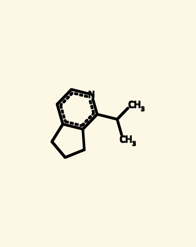 CC(C)c1nccc2c1CCC2